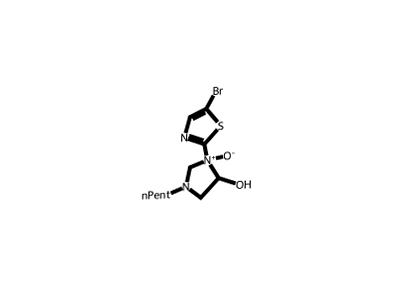 CCCCCN1CC(O)[N+]([O-])(c2ncc(Br)s2)C1